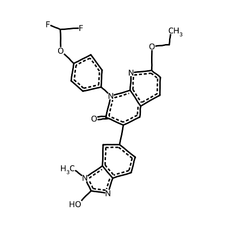 CCOc1ccc2cc(-c3ccc4nc(O)n(C)c4c3)c(=O)n(-c3ccc(OC(F)F)cc3)c2n1